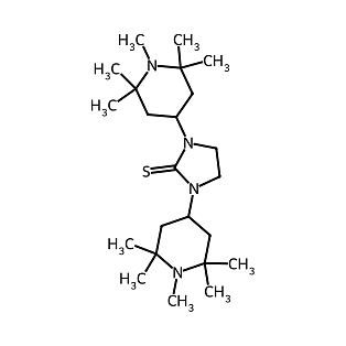 CN1C(C)(C)CC(N2CCN(C3CC(C)(C)N(C)C(C)(C)C3)C2=S)CC1(C)C